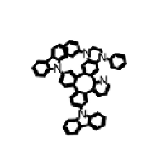 c1ccc(N2CCN(c3ccccc3)c3cc4c(cc32)-c2cc(-n3c5ccccc5c5ccccc53)ccc2-c2ccc(-n3c5ccccc5c5ccccc53)cc2-c2cccnc2-4)cc1